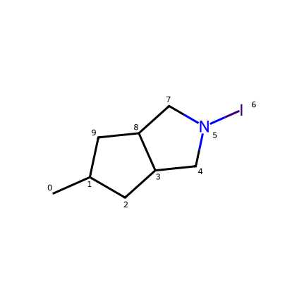 CC1CC2CN(I)CC2C1